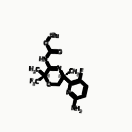 CC(C)(C)OC(=O)NC1=N[C@@](C)(c2nc(N)ccc2F)CO[C@@]1(C)C(F)(F)F